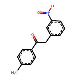 Cc1ccc(C(=O)Cc2cccc([N+](=O)[O-])c2)cc1